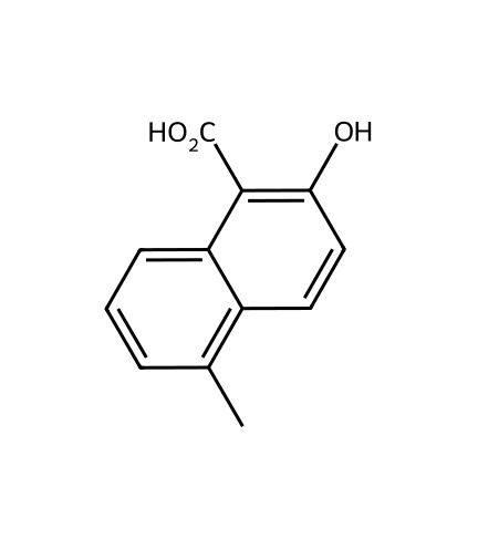 Cc1cccc2c(C(=O)O)c(O)ccc12